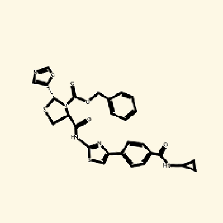 O=C(NC1CC1)c1ccc(-c2csc(NC(=O)C3CS[C@H](c4cnco4)N3C(=O)OCc3ccccc3)n2)cc1